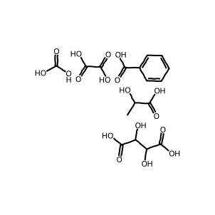 CC(O)C(=O)O.O=C(O)C(=O)O.O=C(O)C(O)C(O)C(=O)O.O=C(O)O.O=C(O)c1ccccc1